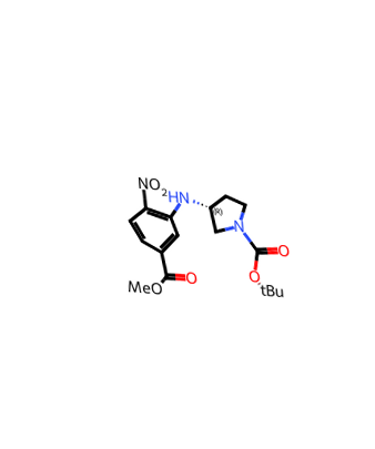 COC(=O)c1ccc([N+](=O)[O-])c(N[C@@H]2CCN(C(=O)OC(C)(C)C)C2)c1